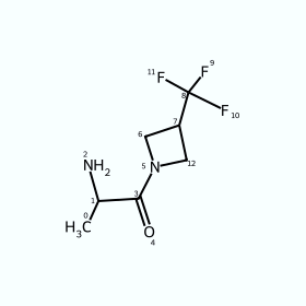 CC(N)C(=O)N1CC(C(F)(F)F)C1